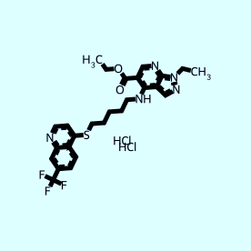 CCOC(=O)c1cnc2c(cnn2CC)c1NCCCCCSc1ccnc2cc(C(F)(F)F)ccc12.Cl.Cl